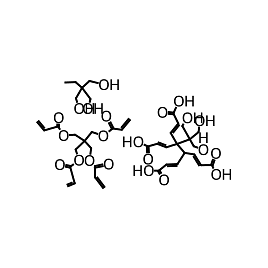 C=CC(=O)OCC(COC(=O)C=C)(COC(=O)C=C)COC(=O)C=C.CCC(CO)(CO)CO.O=C(O)C=CC(C=CC(=O)O)C(C=CC(=O)O)(C=CC(=O)O)C(CO)(CO)CO